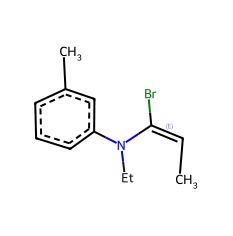 C/C=C(/Br)N(CC)c1cccc(C)c1